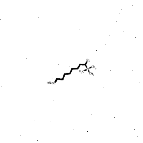 CCCCCCCCCCCCCCCCC(CC)[N+](C)(C)C